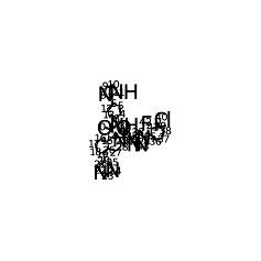 O=C(Nc1ccc(-c2ncc[nH]2)cc1)[C@H]1c2cccc(-c3cncnc3)c2CCN1C(=O)c1cn(-c2cccc(Cl)c2F)nn1